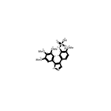 COc1ccc(-c2cnsc2-c2cc(OC)c(OC)c(OC)c2)cc1SP(=O)(O)O